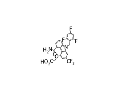 NC(=O)c1cccc2c1c1c(OCC(=O)O)cc(C(F)(F)F)cc1n2Cc1c(F)cc(F)cc1F